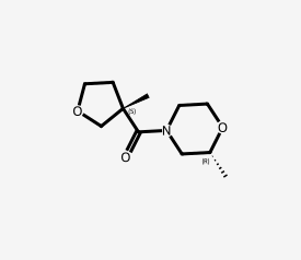 C[C@@H]1CN(C(=O)[C@@]2(C)CCOC2)CCO1